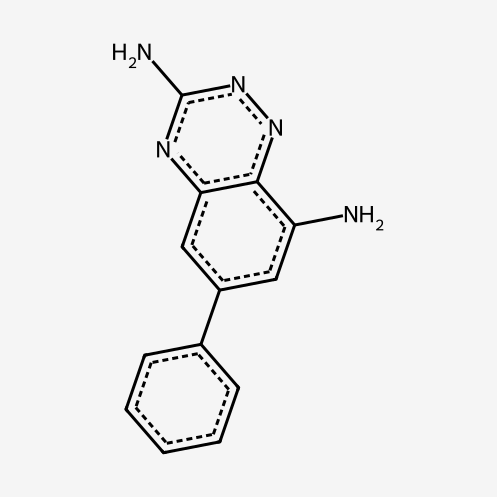 Nc1nnc2c(N)cc(-c3ccccc3)cc2n1